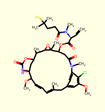 C=C[C@@H](C(=O)OC1CC(=O)N(C)c2cc(cc(OC)c2Cl)C/C(C)=C/C=C/C(OC)C2(O)CC(OC(=O)N2)C(C)C2OC12C)N(C)C(=O)CCC(C)(C)S